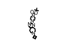 CC(C)(C)OC(=O)N1CCN(c2ncc3c(n2)CCN(C2=CC=C2)CC3)CC1